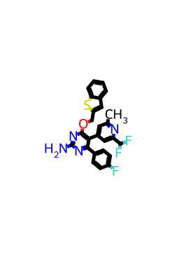 Cc1cc(-c2c(OCc3cc4ccccc4s3)nc(N)nc2-c2ccc(F)cc2)cc(C(F)F)n1